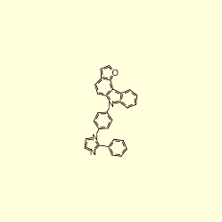 c1ccc(-c2nccn2-c2ccc(-n3c4ccccc4c4c5occc5ccc43)cc2)cc1